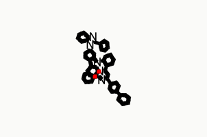 c1ccc(-c2ccc(-c3cc(-c4ccccc4-n4c5ccccc5c5ccc(-n6c(-c7ccccc7)nc7ccccc76)cc54)nc(-c4ccccc4)n3)cc2)cc1